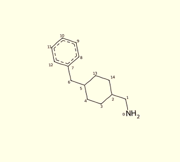 NCC1CCC(Cc2ccccc2)CC1